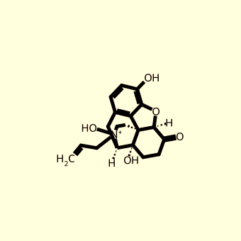 C=CC[N+]1(O)CC[C@]23c4c5ccc(O)c4O[C@H]2C(=O)CC[C@@]3(O)[C@H]1C5